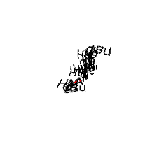 CC(C)(C)OC(=O)Nc1nc(C(=NOC2(C(=O)O)CC2)C(=O)N[C@@H]2C(=O)N[C@@H]2Cn2ncc(CN3CCC(NC(=O)OC(C)(C)C)CC3)n2)cs1